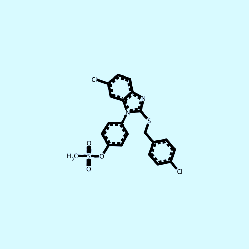 CS(=O)(=O)Oc1ccc(-n2c(SCc3ccc(Cl)cc3)nc3ccc(Cl)cc32)cc1